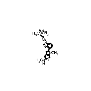 CNc1cc2cc(-c3cccc4c3ncn4COCC[Si](C)(C)C)n(C)c2cn1